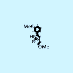 COCCN1CC(c2cccc(OC)c2)NC1=O